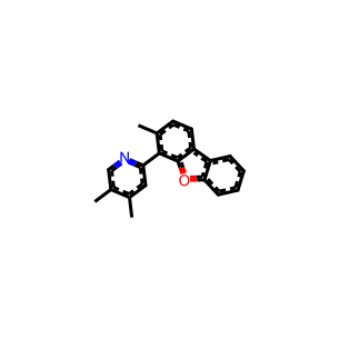 Cc1cnc(-c2c(C)ccc3c2oc2ccccc23)cc1C